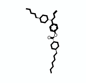 C=CCC(c1ccc(OC(=O)[C@H]2CC[C@H](CCCCCCC)CC2)cc1)[C@H]1CC[C@H](CCCCC)CC1